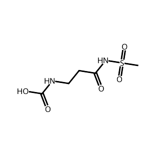 CS(=O)(=O)NC(=O)CCNC(=O)O